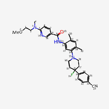 COCCN(C)c1ccc(C(=O)Nc2cc(N3CCC(F)(c4ccc(C#N)cc4)CC3)c(C)cc2C)cn1